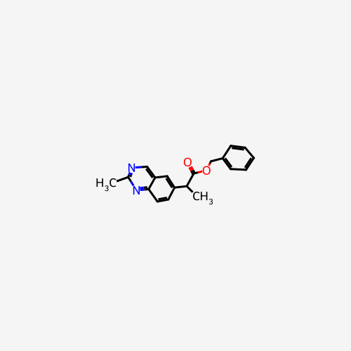 Cc1ncc2cc(C(C)C(=O)OCc3ccccc3)ccc2n1